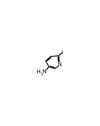 Nc1ccc(I)nc1